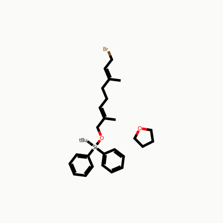 C/C(=C\CBr)CC/C=C(\C)CO[Si](c1ccccc1)(c1ccccc1)C(C)(C)C.C1CCOC1